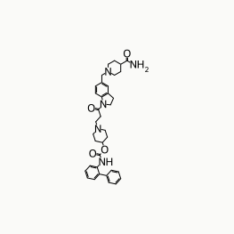 NC(=O)C1CCN(Cc2ccc3c(c2)CCN3C(=O)CCN2CCC(OC(=O)Nc3ccccc3-c3ccccc3)CC2)CC1